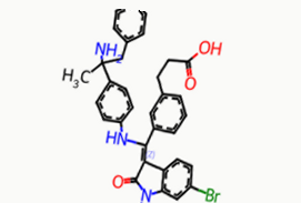 CC(N)(Cc1ccccc1)c1ccc(N/C(=C2\C(=O)Nc3cc(Br)ccc32)c2cccc(CCC(=O)O)c2)cc1